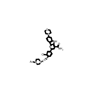 CC(=O)N1CCN(CCOc2ccc(-c3cc(C(N)=O)c4[nH]c5cc(N6CCOCC6)ccc5c4n3)cc2Cl)CC1